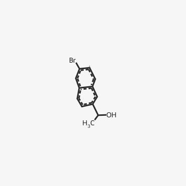 CC(O)c1ccc2cc(Br)[c]cc2c1